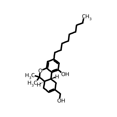 CCCCCCCCCc1cc(O)c2c(c1)OC(C)(C)[C@@H]1CC=C(CO)C[C@@H]21